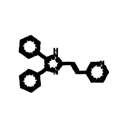 C(=Cc1nc(-c2ccccc2)c(-c2ccccc2)[nH]1)c1cccnc1